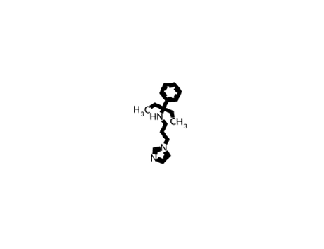 CCC(CC)(NCCCn1ccnc1)c1ccccc1